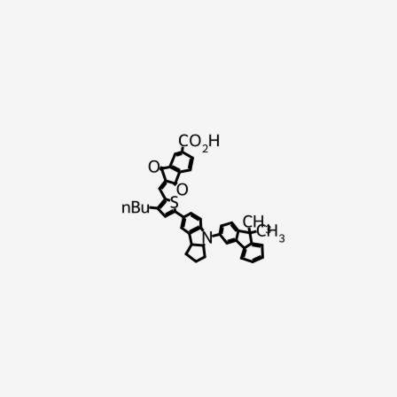 CCCCc1cc(-c2ccc3c(c2)C2CCCC2N3c2ccc3c(c2)-c2ccccc2C3(C)C)sc1/C=C1\C(=O)c2ccc(C(=O)O)cc2C1=O